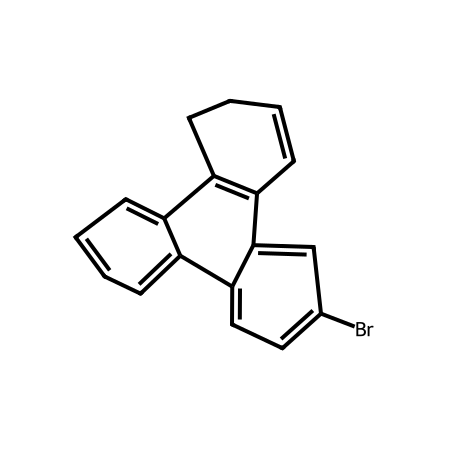 Brc1ccc2c(c1)c1c(c3ccccc32)CCC=C1